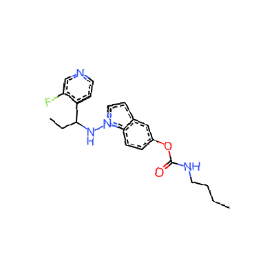 CCCCNC(=O)Oc1ccc2c(ccn2NC(CC)c2ccncc2F)c1